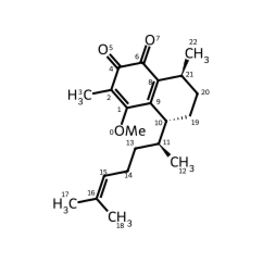 COC1=C(C)C(=O)C(=O)C2=C1[C@@H]([C@@H](C)CCC=C(C)C)CC[C@@H]2C